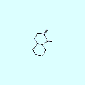 C=C1CCC2CCCCC2C1=C